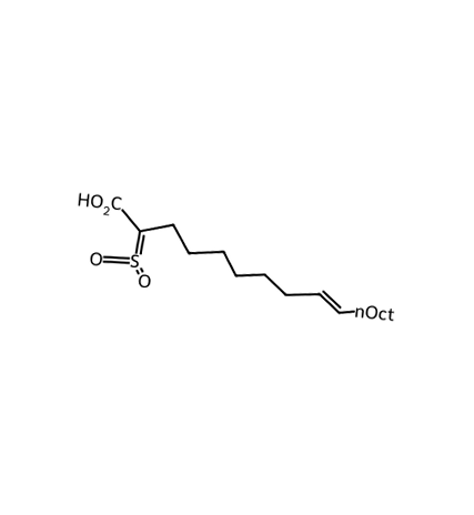 CCCCCCCCC=CCCCCCCC(C(=O)O)=S(=O)=O